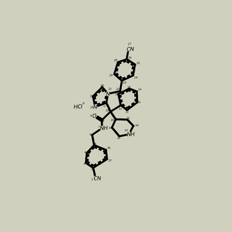 Cl.N#Cc1ccc(CNC(=O)C(c2ccccc2)(c2nccn2Cc2ccc(C#N)cc2)C2CCNCC2)cc1